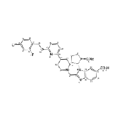 CO[C@@H]1CCC[C@H]1n1c(CN2CCC(c3cccc(OCc4ccc(Cl)cc4F)n3)CC2)nc2ccc(C(=O)O)cc21